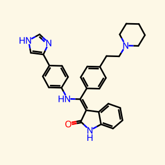 O=C1Nc2ccccc2/C1=C(/Nc1ccc(-c2c[nH]cn2)cc1)c1ccc(CCN2CCCCC2)cc1